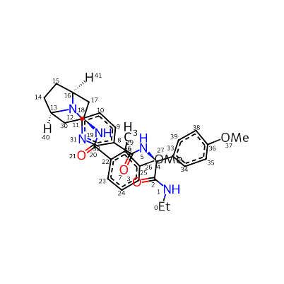 CCNC(=O)[C@@H](NC(=O)c1ccc(N2[C@@H]3CC[C@H]2C[C@@H](NC(=O)c2cccc(OC)c2C)C3)nc1)c1ccc(OC)cc1